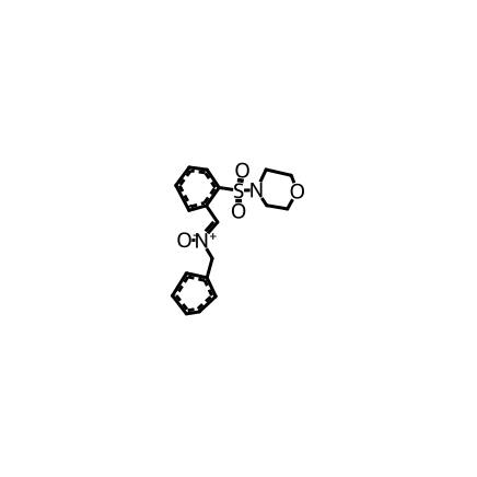 O=S(=O)(c1ccccc1/C=[N+](\[O-])Cc1ccccc1)N1CCOCC1